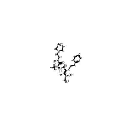 C[C@@H](C(CCCc1ccccc1)C(=O)NC(C(=O)NCCN1CCOCC1)C(C)(C)C)N(O)C=O